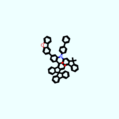 CC1(C)c2ccccc2-c2ccc(N(c3ccc(-c4ccccc4)cc3)c3cc(-c4ccc5oc6ccccc6c5c4)ccc3-c3cccc4c3C3C=CC=CC3C43c4ccccc4-c4ccccc43)cc21